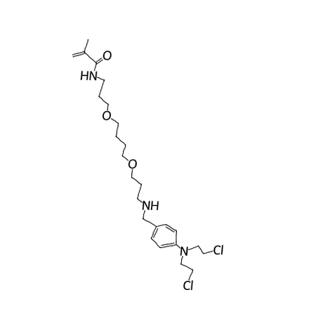 C=C(C)C(=O)NCCCOCCCCOCCCNCc1ccc(N(CCCl)CCCl)cc1